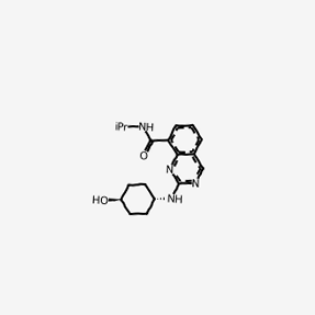 CC(C)NC(=O)c1cccc2cnc(N[C@H]3CC[C@H](O)CC3)nc12